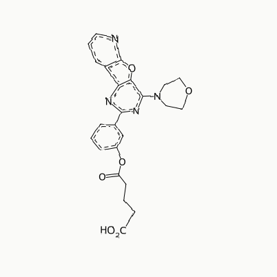 O=C(O)CCCC(=O)Oc1cccc(-c2nc(N3CCOCC3)c3oc4ncccc4c3n2)c1